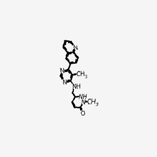 Cc1c(NCC2C=CC(=O)N(C)N2)ncnc1-c1ccc2ncccc2c1